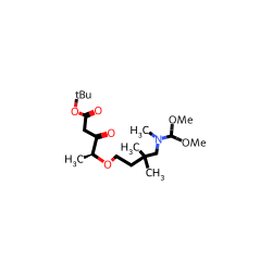 COC(OC)N(C)CC(C)(C)CCO[C@@H](C)C(=O)CC(=O)OC(C)(C)C